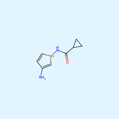 NC1=C[SH](NC(=O)C2CC2)C=C1